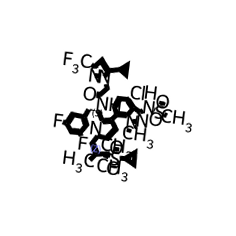 C/C(=C/c1ccc(-c2ccc(Cl)c3c(NS(C)(=O)=O)nn(C)c23)c([C@H](Cc2cc(F)cc(F)c2)NC(=O)Cn2nc(C(F)(F)F)cc2C2CC2)n1)C(C)(C)S(=O)(=O)C1CC1